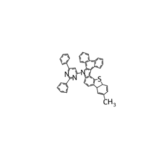 CC1=CC2c3ccc4c(c3SC2C=C1)c1c2ccccc2c2ccccc2c1n4-c1cc(-c2ccccc2)nc(-c2ccccc2)n1